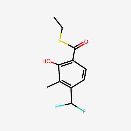 CCSC(=O)c1ccc(C(F)F)c(C)c1O